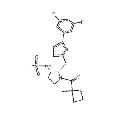 CC1(C(=O)N2CC[C@H](NS(C)(=O)=O)[C@@H]2Cc2csc(-c3cc(F)cc(F)c3)n2)CCC1